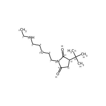 CCNCCOCCN1C(=O)CC(C(C)(C)C)C1=O